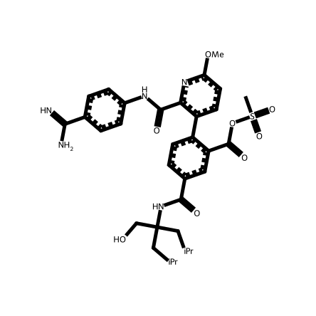 COc1ccc(-c2ccc(C(=O)NC(CO)(CC(C)C)CC(C)C)cc2C(=O)OS(C)(=O)=O)c(C(=O)Nc2ccc(C(=N)N)cc2)n1